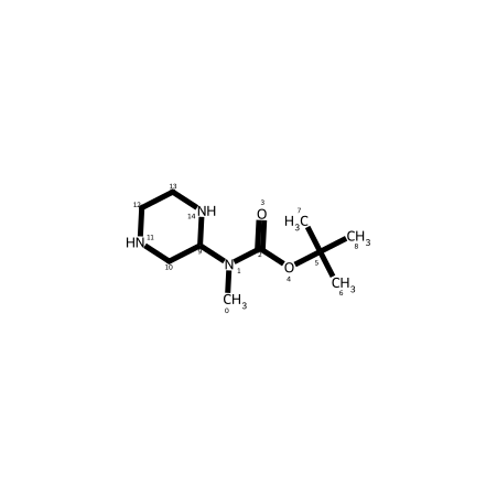 CN(C(=O)OC(C)(C)C)C1CNCCN1